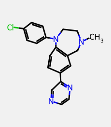 CN1CCN(c2ccc(Cl)cc2)c2ccc(-c3cnccn3)cc2C1